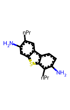 CCCc1cc2c(cc1N)sc1c(CCC)c(N)ccc12